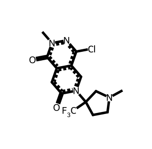 CN1CCC(n2cc3c(Cl)nn(C)c(=O)c3cc2=O)(C(F)(F)F)C1